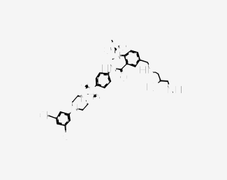 CN(c1ccc(CNCC(O)CN)cc1C(=O)Nc1ccc(S(=O)(=O)N2CCN(c3cc(Cl)cc(Cl)c3)CC2)cc1)S(C)(=O)=O